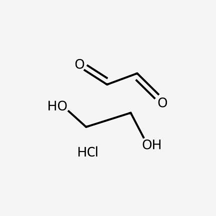 Cl.O=CC=O.OCCO